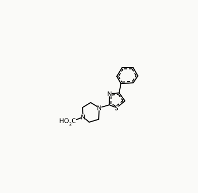 O=C(O)N1CCN(c2nc(-c3ccccc3)cs2)CC1